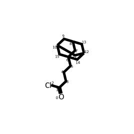 O=C(Cl)CCCC12CC3CC(CC(C3)C1)C2